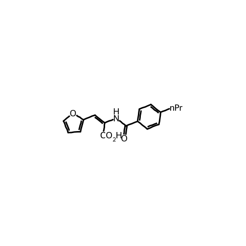 CCCc1ccc(C(=O)N/C(=C/c2ccco2)C(=O)O)cc1